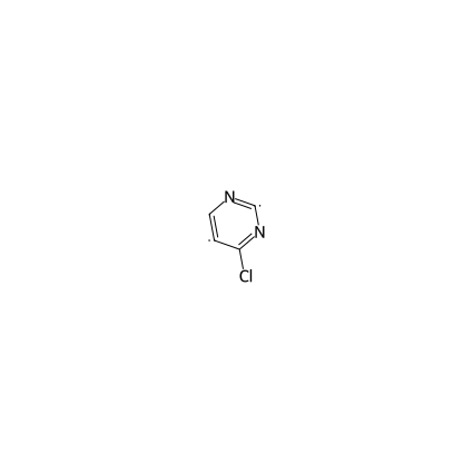 Clc1[c]cn[c]n1